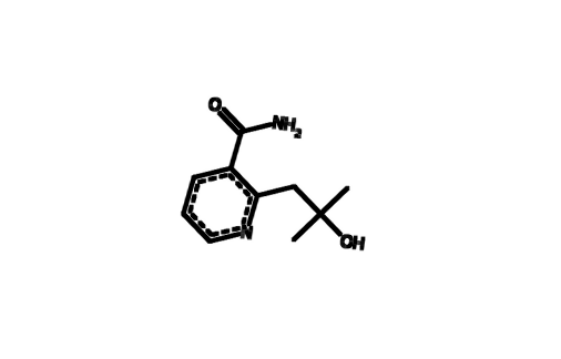 CC(C)(O)Cc1ncccc1C(N)=O